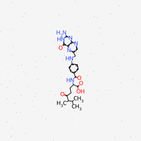 CC(C)C(C)C(=O)CCC(NC(=O)c1ccc(NCc2cnc3nc(N)[nH]c(=O)c3n2)cc1)C(=O)O